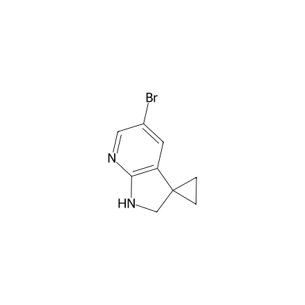 Brc1cnc2c(c1)C1(CC1)CN2